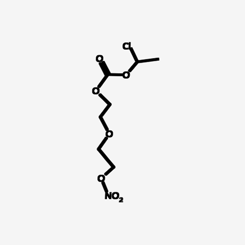 CC(Cl)OC(=O)OCCOCCO[N+](=O)[O-]